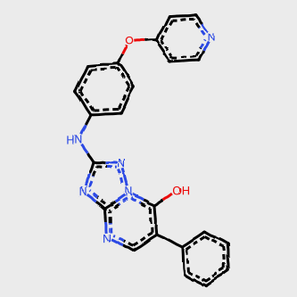 Oc1c(-c2ccccc2)cnc2nc(Nc3ccc(Oc4ccncc4)cc3)nn12